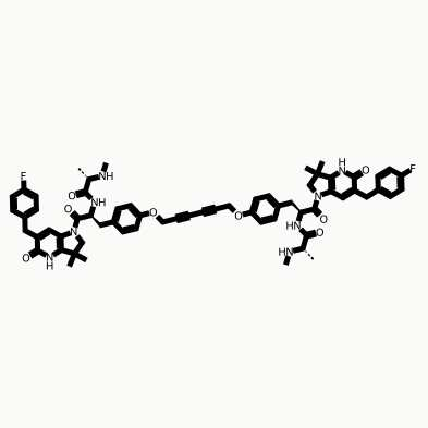 CN[C@@H](C)C(=O)N[C@@H](Cc1ccc(OCC#CC#CCOc2ccc(C[C@H](NC(=O)[C@H](C)NC)C(=O)N3CC(C)(C)c4[nH]c(=O)c(Cc5ccc(F)cc5)cc43)cc2)cc1)C(=O)N1CC(C)(C)c2[nH]c(=O)c(Cc3ccc(F)cc3)cc21